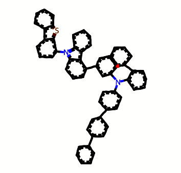 c1ccc(-c2ccc(-c3ccc(N(c4cccc(-c5cccc6c5c5ccccc5n6-c5cccc6c5sc5ccccc56)c4)c4ccccc4-c4ccccc4)cc3)cc2)cc1